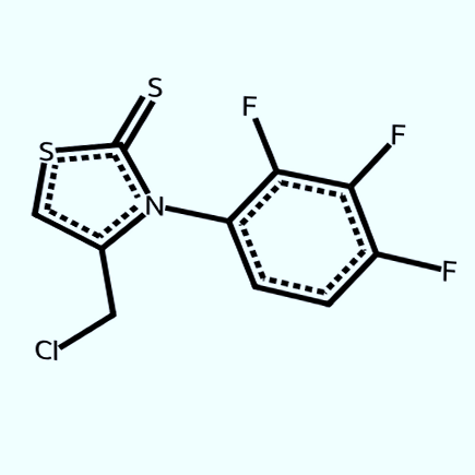 Fc1ccc(-n2c(CCl)csc2=S)c(F)c1F